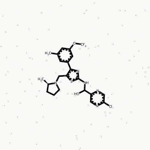 Cc1cc(OC(F)(F)F)cc(-c2nc(NC(O)c3cnc(Cl)cn3)sc2CN2CCC[C@H]2C)c1